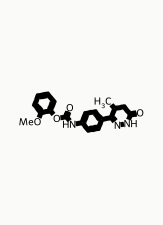 COc1ccccc1OC(=O)Nc1ccc(C2=NNC(=O)CC2C)cc1